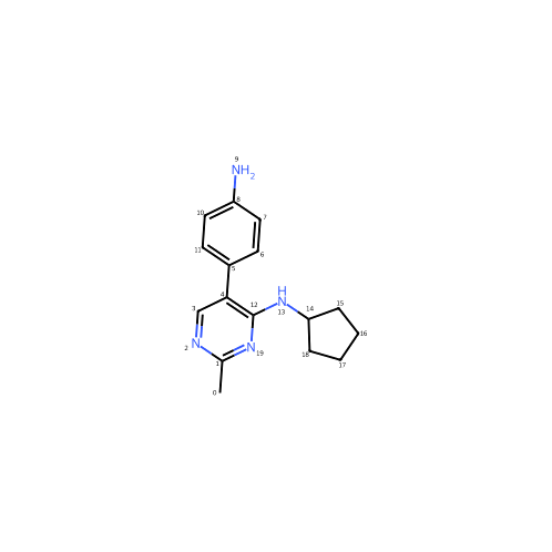 Cc1ncc(-c2ccc(N)cc2)c(NC2CCCC2)n1